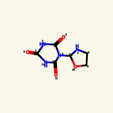 O=c1[nH]c(=O)n(C2NCCO2)c(=O)[nH]1